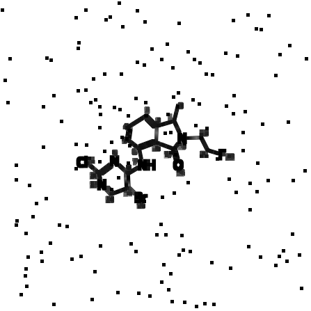 CC1c2cccc(Nc3nc(Cl)ncc3Br)c2C(=O)N1CCF